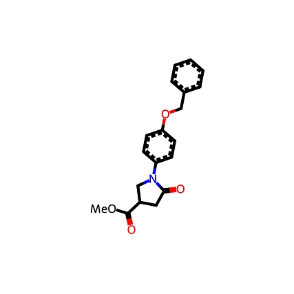 COC(=O)C1CC(=O)N(c2ccc(OCc3ccccc3)cc2)C1